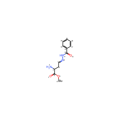 CC(C)(C)OC(=O)C(N)CC=NNC(=O)c1ccccc1